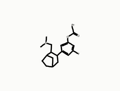 CC(C)C(=O)Oc1cc(F)cc(C2CC3CCC(C3)C2CN(C)C)c1